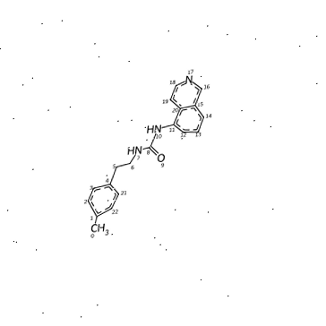 Cc1ccc(CCNC(=O)Nc2cccc3cnccc23)cc1